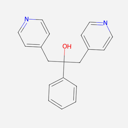 OC(Cc1ccncc1)(Cc1ccncc1)c1ccccc1